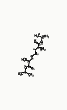 CC(C)OC(=O)C(N)CSSCC(N)C(=O)OC(C)C